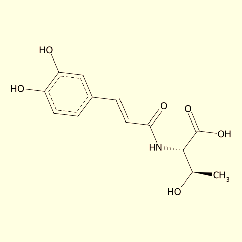 C[C@@H](O)[C@H](NC(=O)C=Cc1ccc(O)c(O)c1)C(=O)O